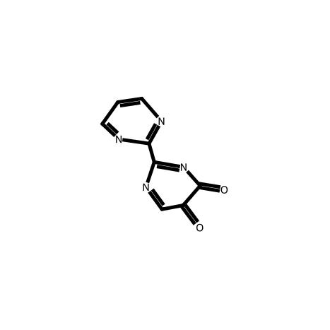 O=C1C=NC(c2ncccn2)=NC1=O